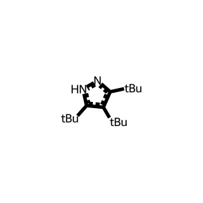 CC(C)(C)c1n[nH]c(C(C)(C)C)c1C(C)(C)C